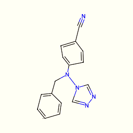 N#Cc1ccc(N(Cc2cc[c]cc2)n2cnnc2)cc1